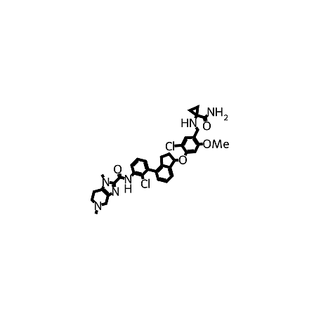 COc1cc(OC2CCc3c(-c4cccc(NC(=O)c5nc6c(n5C)CCN(C)C6)c4Cl)cccc32)c(Cl)cc1CNC1(C(N)=O)CC1